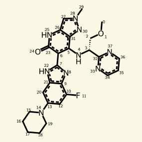 COC[C@@H](Nc1c(-c2nc3c(F)cc(N4CCCCC4)cc3[nH]2)c(=O)[nH]c2cn(C)nc12)c1ncccn1